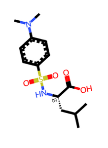 CC(C)C[C@H](NS(=O)(=O)c1ccc(N(C)C)cc1)C(=O)O